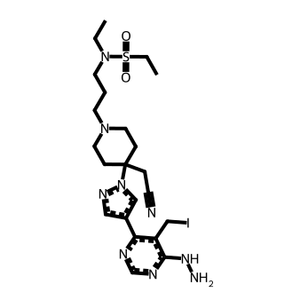 CCN(CCCN1CCC(CC#N)(n2cc(-c3ncnc(NN)c3CI)cn2)CC1)S(=O)(=O)CC